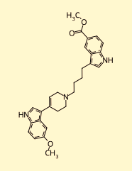 COC(=O)c1ccc2[nH]cc(CCCCN3CC=C(c4c[nH]c5ccc(OC)cc45)CC3)c2c1